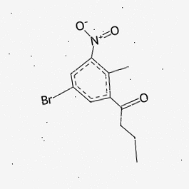 CCCC(=O)c1cc(Br)cc([N+](=O)[O-])c1C